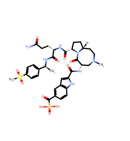 C[C@H](NC(=O)[C@H](CCC(N)=O)NC(=O)[C@@H]1CC[C@@H]2CCN(C)C[C@H](NC(=O)c3cc4cc(C(=O)P(=O)(O)O)ccc4[nH]3)C(=O)N21)c1ccc(S(C)(=O)=O)cc1